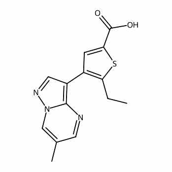 CCc1sc(C(=O)O)cc1-c1cnn2cc(C)cnc12